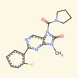 Cn1c(=O)n(C(=O)N2CCCC2)c2cnc(-c3ccccc3F)nc21